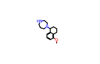 COc1cccc2c1CCCC2N1CCCNCC1